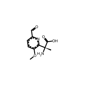 COc1ccc(C=O)nc1[C@@](C)(N)C(=O)O